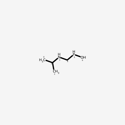 CC(C)NCPO